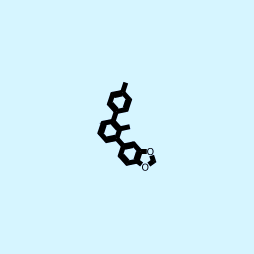 Cc1ccc(-c2[c]ccc(-c3ccc4c(c3)OCO4)c2C)cc1